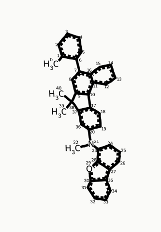 Cc1ccccc1-c1cc2c(c3ccccc13)-c1ccc(N(C)c3cccc4c3oc3ccccc34)cc1C2(C)C